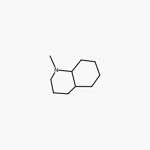 CN1CC[CH]C2CCCCC21